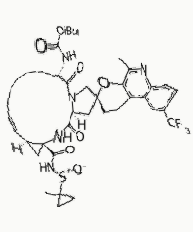 Cc1nc2ccc(C(F)(F)F)cc2c2c1O[C@]1(CC2)C[C@H]2C(=O)N[C@]3(C(=O)N[S+]([O-])C4(C)CC4)C[C@H]3/C=C\CCCCC[C@H](NC(=O)OCC(C)C)C(=O)N2C1